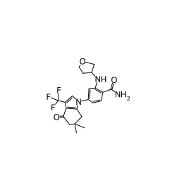 CC1(C)CC(=O)c2c(C(F)(F)F)cn(-c3ccc(C(N)=O)c(NC4CCOC4)c3)c2C1